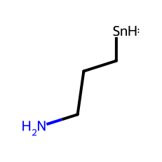 NCC[CH2][SnH]